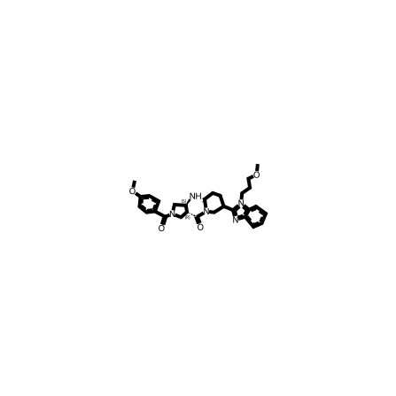 COCCCn1c(C2CCCN(C(=O)[C@@H]3CN(C(=O)c4ccc(OC)cc4)C[C@H]3N)C2)nc2ccccc21